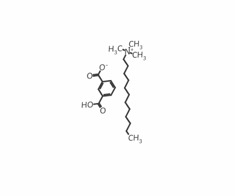 CCCCCCCCCCCC[N+](C)(C)C.O=C([O-])c1cccc(C(=O)O)c1